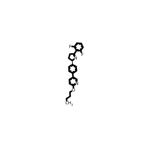 CCCCOc1ccc(-c2ccc([C@H]3CCC(c4c(F)cccc4F)=N3)cc2)cn1